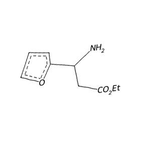 CCOC(=O)CC(N)c1ccco1